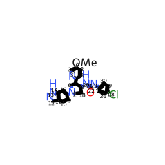 COc1ccc(C2CN(c3ccc4cn[nH]c4c3)CCC2NC(=O)Nc2ccc(Cl)cc2)nc1